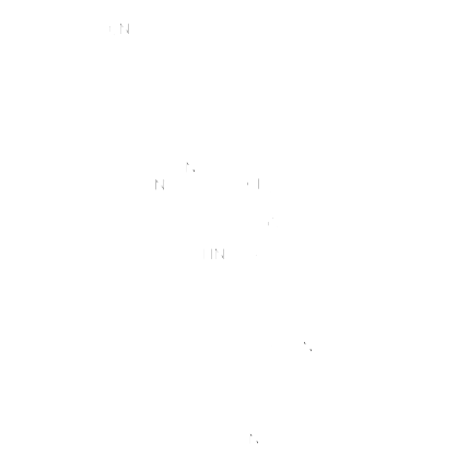 Cc1c(NC(=O)c2cc(-c3cccnc3)nc3ccccc23)c(C(F)(F)F)nn1Cc1ccc(C#N)cc1